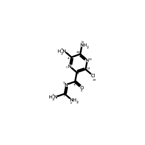 NC(N)=NC(=O)c1nc(N)c(N)nc1Cl